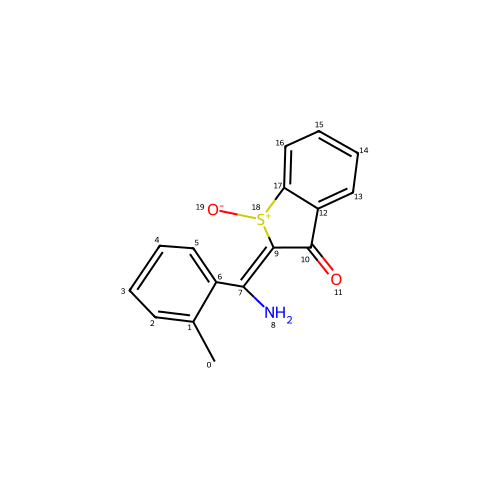 Cc1ccccc1/C(N)=C1/C(=O)c2ccccc2[S+]1[O-]